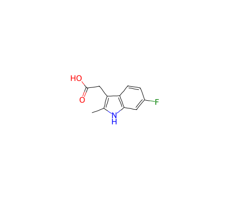 Cc1[nH]c2cc(F)ccc2c1CC(=O)O